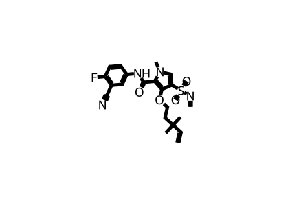 C=CC(C)(C)CCOc1c(S(=O)(=O)N=C)cn(C)c1C(=O)Nc1ccc(F)c(C#N)c1